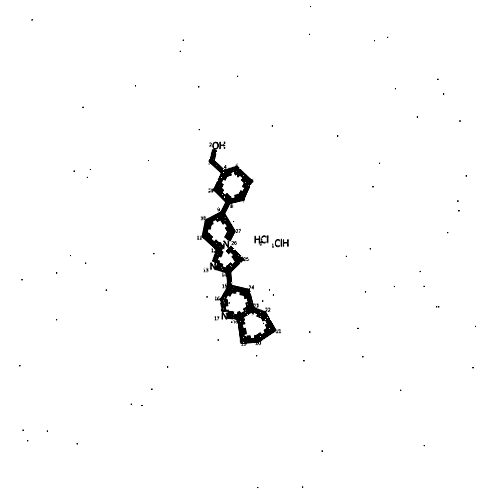 Cl.Cl.OCc1cccc(-c2ccc3nc(-c4cnc5ccccc5c4)cn3c2)c1